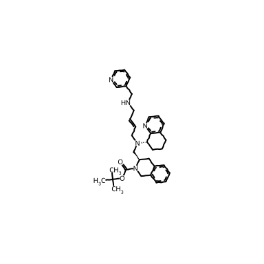 CC(C)(C)OC(=O)N1Cc2ccccc2C[C@@H]1CN(C/C=C/CNCc1cccnc1)[C@H]1CCCc2cccnc21